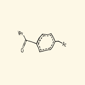 CC(=O)c1ccc(C(=O)C(C)C)cc1